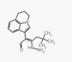 CC(C)(C)C/C(NN)=C(/C=O)c1cn2c3c(cccc13)CCC2